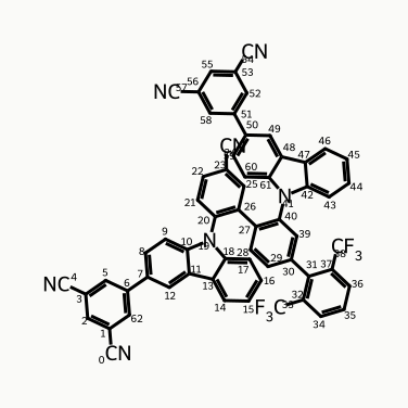 N#Cc1cc(C#N)cc(-c2ccc3c(c2)c2ccccc2n3-c2ccc(C#N)cc2-c2ccc(-c3c(C(F)(F)F)cccc3C(F)(F)F)cc2-n2c3ccccc3c3cc(-c4cc(C#N)cc(C#N)c4)ccc32)c1